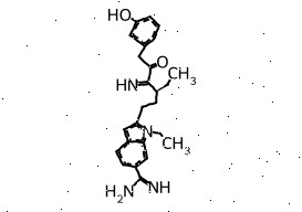 CC[C@@H](CCc1cc2ccc(C(=N)N)cc2n1CC)C(=N)C(=O)Cc1cccc(O)c1